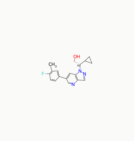 Cc1cc(-c2cnc3cnn([C@H](CO)C4CC4)c3c2)ccc1F